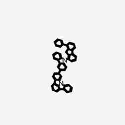 c1ccc(-c2cccc3c2Cc2c-3cccc2-n2c3ccccc3c3cc(-c4ccc5c6cccc7c8ccccc8n(c5c4)c76)ccc32)cc1